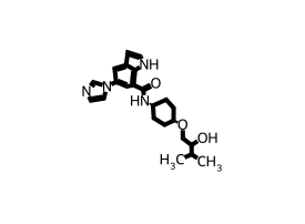 CC(C)C(O)CO[C@H]1CC[C@H](NC(=O)c2cc(-n3ccnc3)cc3cc[nH]c23)CC1